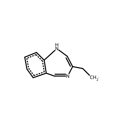 [CH2]CC1=CNc2ccccc2C=N1